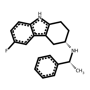 C[C@@H](N[C@H]1CCc2[nH]c3ccc(F)cc3c2C1)c1ccccc1